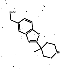 COCc1ccc2oc(C3(C)CCNCC3)nc2c1